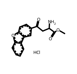 COC(=O)C(N)CC(=O)c1ccc2oc3ccccc3c2c1.Cl